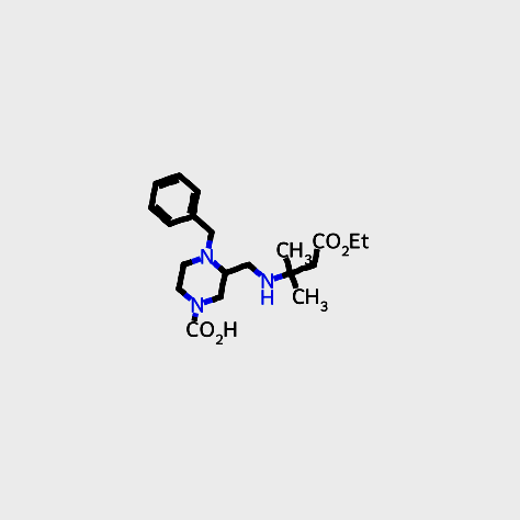 CCOC(=O)CC(C)(C)NCC1CN(C(=O)O)CCN1Cc1ccccc1